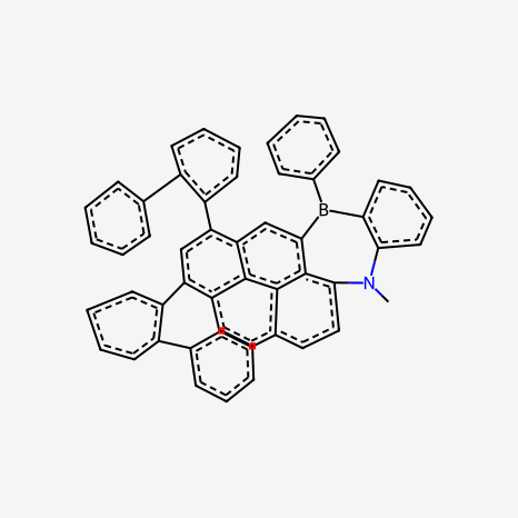 CN1c2ccccc2B(c2ccccc2)c2cc3c(-c4ccccc4-c4ccccc4)cc(-c4ccccc4-c4ccccc4)c4ccc5ccc1c2c5c43